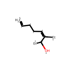 C=CCCC=C(CC)C(O)CC